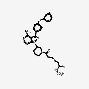 CC(=O)C(CSCCC(=O)N1CCCC(n2nc(-c3ccc(Oc4ccccc4)cc3)c3c(N)ncnc32)C1)NC(=O)O